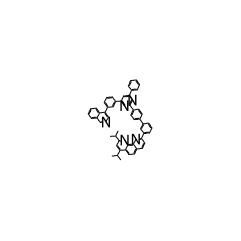 CC(C)c1cc(C(C)C)c2ccc3ccc(-c4cccc(-c5ccc(-c6nc(-c7ccccc7)cc(-c7cccc(-c8cncc9ccccc89)c7)n6)cc5)c4)nc3c2n1